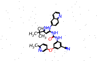 Cc1ccc(Oc2cc(C#N)cc(NC(=O)Nc3cc(C(C)(C)C)nn3-c3ccc4ncccc4c3)c2)cn1